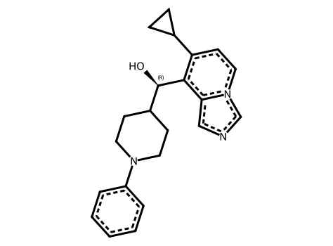 O[C@@H](c1c(C2CC2)ccn2cncc12)C1CCN(c2ccccc2)CC1